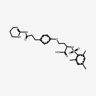 Cc1cc(C)c(S(=O)(=O)NC(CCOc2ccc(CCC(=O)NC3=NCCCN3)cc2)C(=O)O)c(C)c1